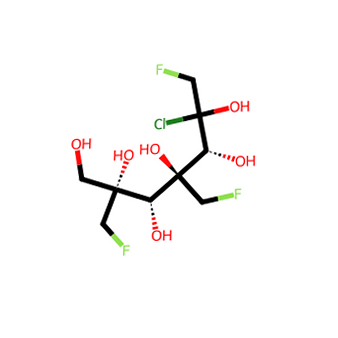 OC[C@](O)(CF)[C@@H](O)[C@@](O)(CF)[C@@H](O)C(O)(Cl)CF